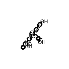 Cc1cc(C[C@@H](OC(=O)N2CCC(N3CCc4ccccc4NC3=O)CC2)C(=O)N2CCC(N3CCC(O)CC3)CC2)ccc1O